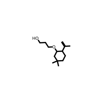 C=C(C)C1CCC(C)(C)CC1OCCCO